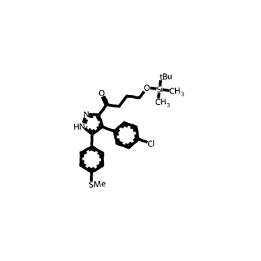 CSc1ccc(-c2[nH]nc(C(=O)CCCO[Si](C)(C)C(C)(C)C)c2-c2ccc(Cl)cc2)cc1